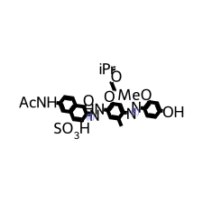 COc1cc(O)ccc1/N=N/c1cc(OCCOC(C)C)c(N/N=C2\C(=O)c3ccc(NC(C)=O)cc3C=C2S(=O)(=O)O)cc1C